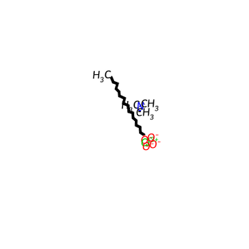 CCCCCCCCCCCCCCCCCCO[Cl+3]([O-])([O-])[O-].CN(C)C